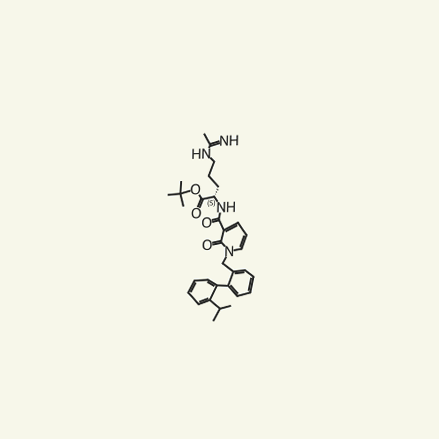 CC(=N)NCCC[C@H](NC(=O)c1cccn(Cc2ccccc2-c2ccccc2C(C)C)c1=O)C(=O)OC(C)(C)C